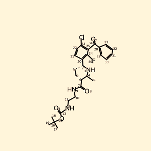 CC[C@@H](NC(C)CC(=O)NCCNC(=O)OC(C)(C)C)c1ccc(Cl)c(C(=O)c2ccccc2)c1F